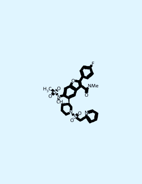 CNC(=O)c1c(-c2ccc(F)cc2)oc2cc(N(C)S(C)(=O)=O)c([C@@H]3CCCN(S(=O)(=O)Cc4ccccn4)C3)cc12